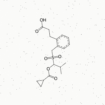 CC(C)C(OC(=O)C1CC1)S(=O)(=O)Cc1ccccc1CCC(=O)O